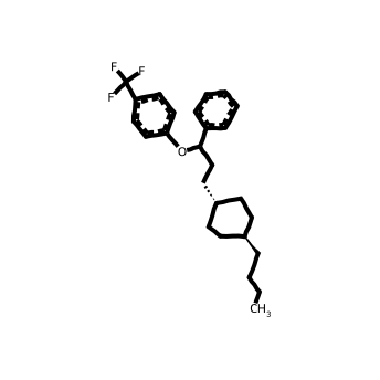 CCCC[C@H]1CC[C@H](CCC(Oc2ccc(C(F)(F)F)cc2)c2ccccc2)CC1